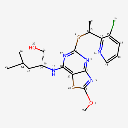 COc1nc2nc(S[C@@H](C)c3ncccc3F)nc(N[C@@H](CO)CC(C)C)c2s1